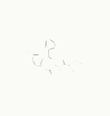 [CH2]N1C(=O)C(N(C)C(=O)C(N)CS)N=C(c2ccccc2)c2cc(Cl)ccc21